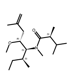 C=C(C)C[C@@H](OC)[C@H]([C@@H](C)CC)N(C)C(=O)[C@@H](C)C(C)C